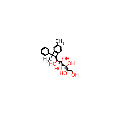 Cc1ccc2c(c1)C(C)(c1ccccc1)C2=C(O)[C@H](O)[C@@H](O)[C@H](O)[C@H](O)CO